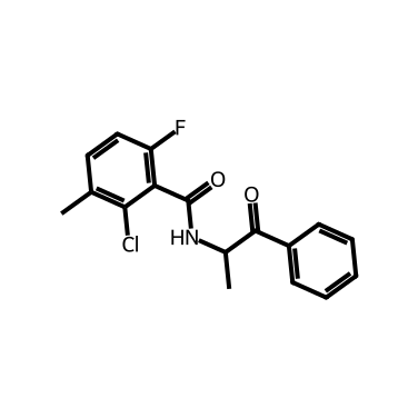 Cc1ccc(F)c(C(=O)NC(C)C(=O)c2ccccc2)c1Cl